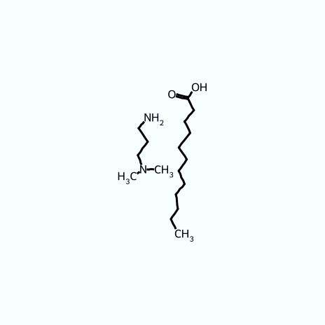 CCCCCCCCCCCC(=O)O.CN(C)CCCN